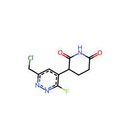 O=C1CCC(c2cc(CCl)nnc2F)C(=O)N1